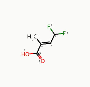 C/C(=C\C(F)F)C(=O)O